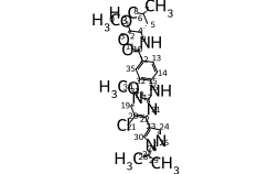 COC(=O)[C@H](CC(C)C)NC(=O)c1ccc(Nc2ncc(Cl)c(-c3cnn(C(C)C)c3)n2)c(OC)c1